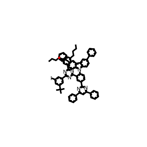 CCCCc1cc(CCCC)cc(-c2nc(-c3cc(I)cc(C(C)(C)C)c3)nc(-c3cc(-c4nc(-c5ccccc5)cc(-c5ccccc5)n4)ccc3-n3c4ccc(-c5ccccc5)cc4c4cc(-c5ccccc5)ccc43)n2)c1